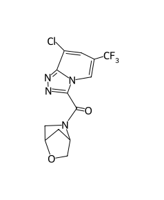 O=C(c1nnc2c(Cl)cc(C(F)(F)F)cn12)N1CC2CC1CO2